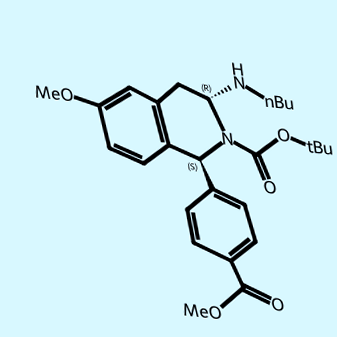 CCCCN[C@H]1Cc2cc(OC)ccc2[C@H](c2ccc(C(=O)OC)cc2)N1C(=O)OC(C)(C)C